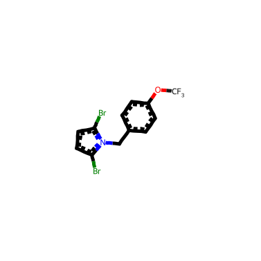 FC(F)(F)Oc1ccc(Cn2c(Br)ccc2Br)cc1